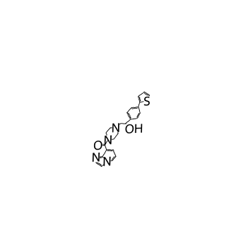 O=C(c1cccn2ccnc12)N1CCN(CC(O)c2ccc(-c3cccs3)cc2)CC1